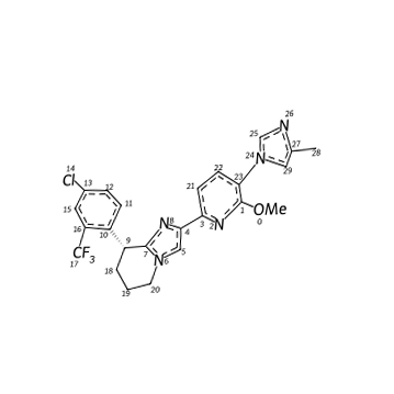 COc1nc(-c2cn3c(n2)[C@@H](c2ccc(Cl)cc2C(F)(F)F)CCC3)ccc1-n1cnc(C)c1